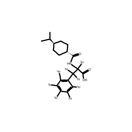 [2H]c1c([2H])c([2H])c(C([2H])([2H])C([2H])(NC(=O)[C@H]2CC[C@H](C(C)C)CC2)C(=O)O)c([2H])c1[2H]